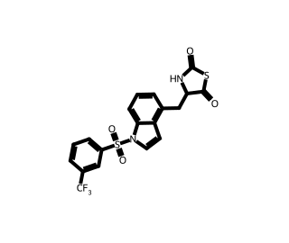 O=C1NC(Cc2cccc3c2ccn3S(=O)(=O)c2cccc(C(F)(F)F)c2)C(=O)S1